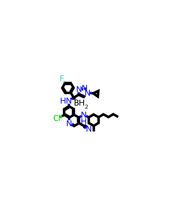 BC(Nc1cc(Cl)c2ncc(C#N)c(NC3CC(C)CC(CCCC)C3)c2c1)(c1ccc(F)cc1)c1cn(C2CC2)nn1